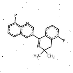 CC1(C)Cc2c(F)cccc2C(c2cnc3c(F)cccc3c2)=N1